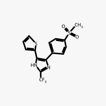 CS(=O)(=O)c1ccc(-c2nc(C(F)(F)F)[nH]c2-c2cccs2)cc1